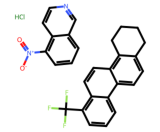 Cl.FC(F)(F)c1cccc2c1ccc1c3c(ccc12)CCCC3.O=[N+]([O-])c1cccc2cnccc12